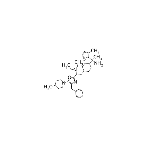 CCN(CC)C(CC1CCC(C(C)(N)c2sccc2C)CC1)c1nc(Cc2ccccc2)c(N2CCC(C)CC2)o1